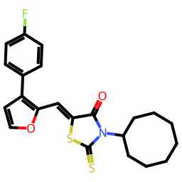 O=C1C(=Cc2occc2-c2ccc(F)cc2)SC(=S)N1C1CCCCCCC1